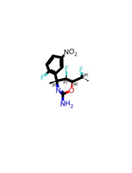 C[C@@H](F)[C@H]1OC(N)=N[C@](C)(c2cc([N+](=O)[O-])ccc2F)[C@H]1F